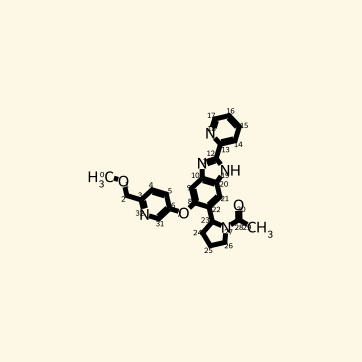 COCc1ccc(Oc2cc3nc(-c4ccccn4)[nH]c3cc2C2CCCN2C(C)=O)cn1